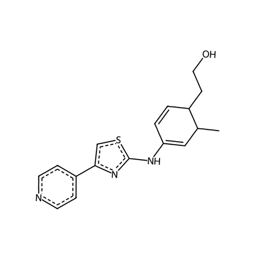 CC1C=C(Nc2nc(-c3ccncc3)cs2)C=CC1CCO